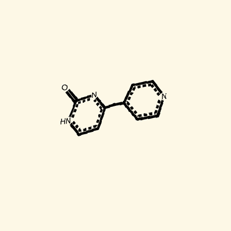 O=c1nc(-c2ccncc2)cc[nH]1